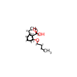 CCCCOc1cccc(CC)c1C(=O)O